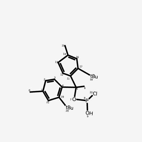 Cc1ccc(C(C)(OP(O)Cl)c2ccc(C)cc2C(C)(C)C)c(C(C)(C)C)c1